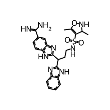 CC1=C(S(=O)(=O)NCCC(c2nc3ccccc3[nH]2)c2nc3cc(C(=N)N)ccc3[nH]2)C(C)NO1